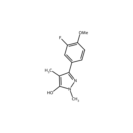 COc1ccc(-c2nn(C)c(O)c2C)cc1F